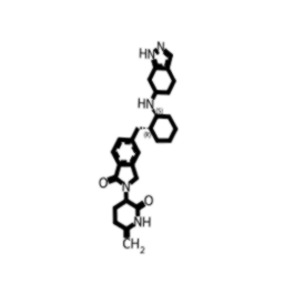 C=C1CCC(N2Cc3cc(C[C@H]4CCCC[C@@H]4NC4CCc5cn[nH]c5C4)ccc3C2=O)C(=O)N1